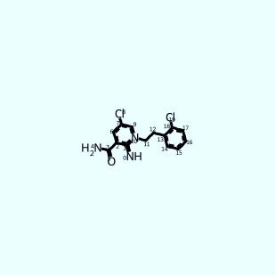 N=c1c(C(N)=O)cc(Cl)cn1CCc1ccccc1Cl